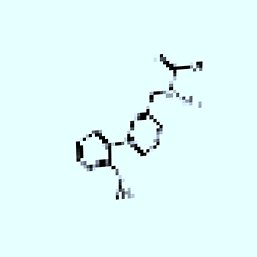 COc1ccccc1-c1cccc(C[C@@H](N)C(=O)O)c1